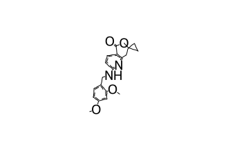 COc1ccc(CNc2ccc3c(n2)CC2(CC2)OC3=O)c(OC)c1